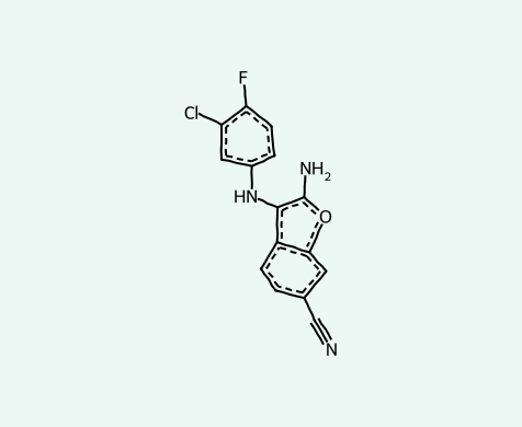 N#Cc1ccc2c(Nc3ccc(F)c(Cl)c3)c(N)oc2c1